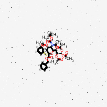 CC(=O)OC[C@@H](OC(C)=O)[C@@H](OC(C)=O)C1O[C@](Sc2ccccc2)(C(=O)OCc2ccccc2)C[C@H](OC(C)=O)[C@H]1N(C(C)=O)C(=O)OC(C)(C)C